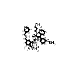 CCCCn1c(=O)c(NC(=O)Nc2cc(CNCc3cccnc3)ccc2C(C)(C)C)c(-c2cccc(OC)c2)c2cccnc21